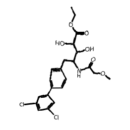 CCOC(=O)C(O)C(O)C(Cc1ccc(-c2cc(Cl)cc(Cl)c2)cc1)NC(=O)COC